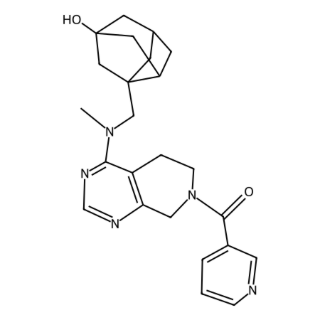 CN(CC12CC3CC1CC(O)(C3)C2)c1ncnc2c1CCN(C(=O)c1cccnc1)C2